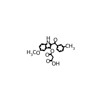 COc1ccc2[nH]c(C(=O)c3cccc(C)c3)c(OC(=O)CC(=O)O)c2c1